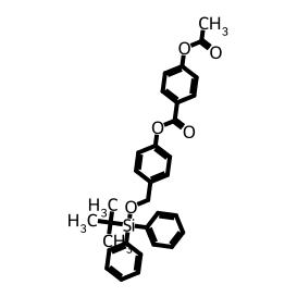 CC(=O)Oc1ccc(C(=O)Oc2ccc(CO[Si](c3ccccc3)(c3ccccc3)C(C)(C)C)cc2)cc1